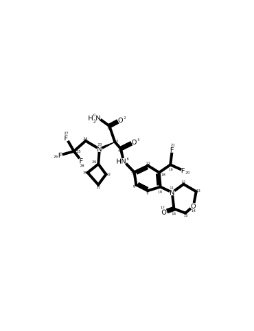 NC(=O)[C@@H](C(=O)Nc1ccc(N2CCOCC2=O)c(C(F)F)c1)N(CC(F)(F)F)C1CCC1